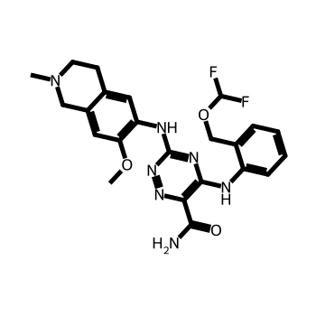 COc1cc2c(cc1Nc1nnc(C(N)=O)c(Nc3ccccc3COC(F)F)n1)CCN(C)C2